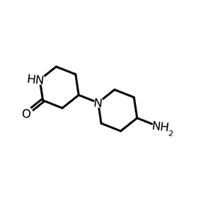 NC1CCN(C2CCNC(=O)C2)CC1